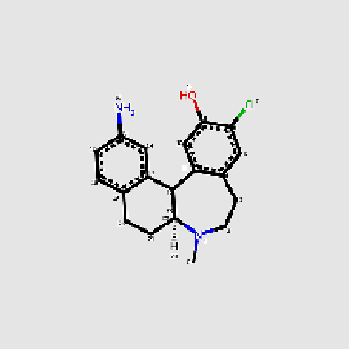 CN1CCc2cc(Cl)c(O)cc2C2c3cc(N)ccc3CC[C@@H]21